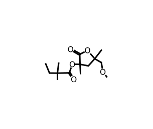 CCC(C)(C)C(=O)OC1(C)CC(C)(COC)OC1=O